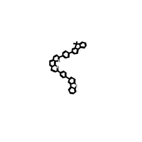 CC1(C)c2ccccc2-c2ccc(-c3ccc(-c4ccc5ccc6ccc(-c7ccc(-c8ccc9sc%10ccccc%10c9c8)cc7)nc6c5n4)cc3)cc21